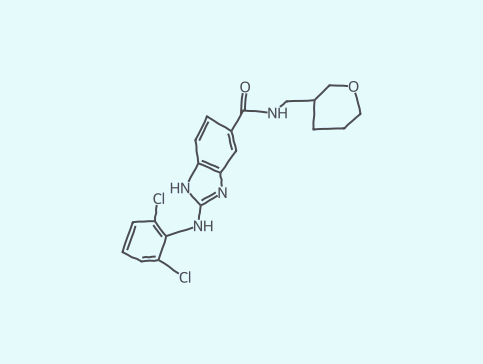 O=C(NCC1CCCOC1)c1ccc2[nH]c(Nc3c(Cl)cccc3Cl)nc2c1